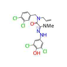 C=CCN(Cc1ccc(Cl)c(Cl)c1)C(=O)/C(=N/Nc1cc(Cl)c(O)c(Cl)c1)NC